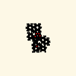 c1ccc(-c2ccccc2N(c2ccccc2)c2c3ccccc3cc3c2c2cccc4c5c(N(c6ccccc6)c6ccccc6-c6ccccc6)c6ccccc6cc5n3c24)cc1